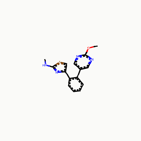 CNc1nc(-c2ccccc2-c2cnc(OC)nc2)cs1